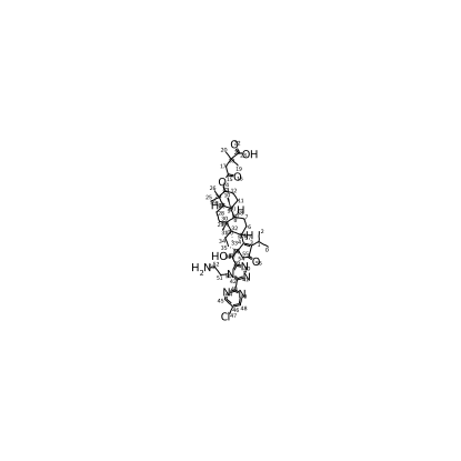 CC(C)C1=C2[C@H]3CC[C@@H]4[C@@]5(C)CC[C@H](OC(=O)CC(C)(C)C(=O)O)C(C)(C)[C@@H]5CC[C@@]4(C)[C@]3(C)CC[C@@]2([C@@H](O)c2nnc(-c3ncc(Cl)cn3)n2CCN)CC1=O